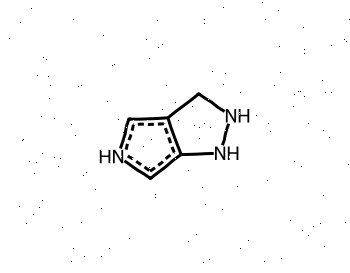 c1[nH]cc2c1CNN2